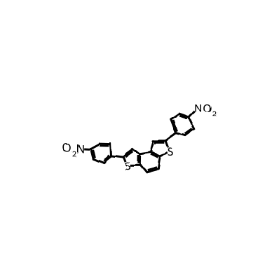 O=[N+]([O-])c1ccc(-c2cc3c(ccc4sc(-c5ccc([N+](=O)[O-])cc5)cc43)s2)cc1